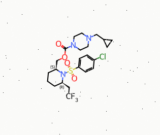 O=C(OC[C@@H]1CCC[C@H](CC(F)(F)F)N1S(=O)(=O)c1ccc(Cl)cc1)N1CCN(CC2CC2)CC1